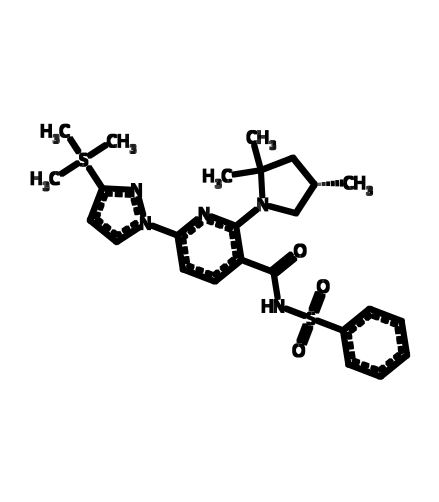 C[C@@H]1CN(c2nc(-n3ccc(S(C)(C)C)n3)ccc2C(=O)NS(=O)(=O)c2ccccc2)C(C)(C)C1